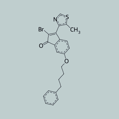 Cc1scnc1C1=C(Br)C(=O)c2cc(OCCCCc3ccccc3)ccc21